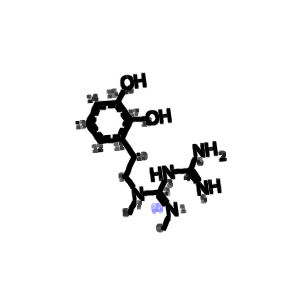 C/N=C(/NC(=N)N)N(C)CCc1cccc(O)c1O